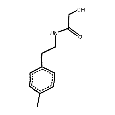 Cc1ccc(CCNC(=O)CO)cc1